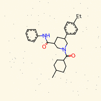 CCc1ccc(C2CC(C(=O)Nc3ccccc3)CN(C(=O)C3CCC(C)CC3)C2)cc1